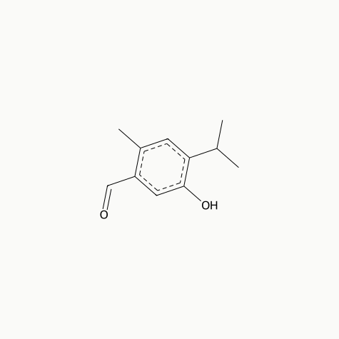 Cc1cc(C(C)C)c(O)cc1C=O